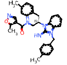 Cc1ccc(C[C@@H](CNC(=O)c2cnoc2C)n2c(=N)n(Cc3ccc(C)cc3)c3ccccc32)cc1